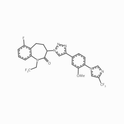 COc1cc(-c2cn(C3CCc4c(F)cccc4N(CC(F)(F)F)C3=O)nn2)ccc1-n1cnc(C(F)(F)F)c1